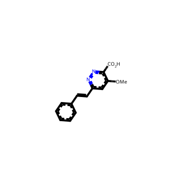 COc1cc(/C=C/c2ccccc2)nnc1C(=O)O